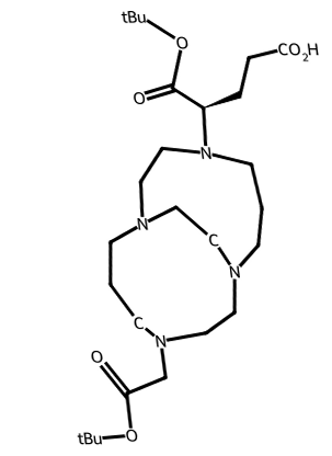 CC(C)(C)OC(=O)CN1CCCN2CCN(CCCN([C@H](CCC(=O)O)C(=O)OC(C)(C)C)CC2)CC1